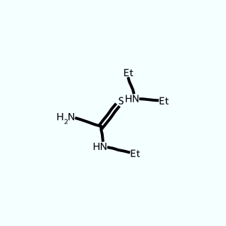 CCNC(N)=S.CCNCC